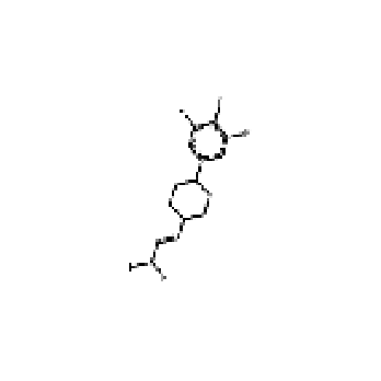 Fc1cc(C2CCC(/C=C/C(F)F)CC2)cc(F)c1F